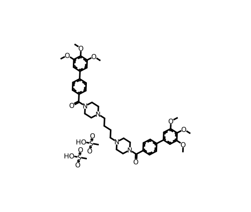 COc1cc(-c2ccc(C(=O)N3CCN(CCCCN4CCN(C(=O)c5ccc(-c6cc(OC)c(OC)c(OC)c6)cc5)CC4)CC3)cc2)cc(OC)c1OC.CS(=O)(=O)O.CS(=O)(=O)O